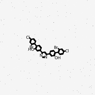 Oc1cc(-c2cc(-c3ccc(-c4ccc(Cl)cc4Br)c(O)c3)ncn2)ccc1-c1ccc(Cl)cc1Br